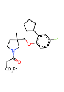 CCOC(=O)CC(=O)N1CCC(C)(COc2ccc(F)cc2C2CCCC2)C1